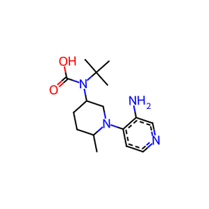 CC1CCC(N(C(=O)O)C(C)(C)C)CN1c1ccncc1N